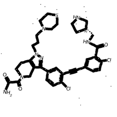 NC(=O)C(=O)N1CCc2c(c(-c3ccc(Cl)c(C#Cc4ccc(Cl)c(C(=O)NC[C@@H]5CCNC5)c4)c3)nn2CCCN2CCSCC2)C1